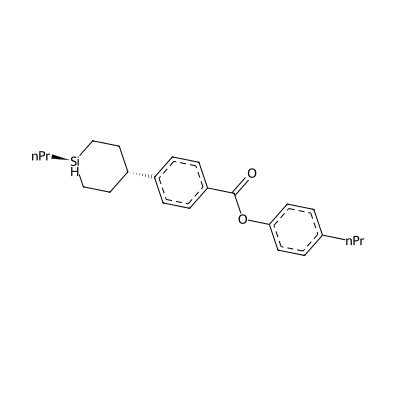 CCCc1ccc(OC(=O)c2ccc([C@H]3CC[Si@H](CCC)CC3)cc2)cc1